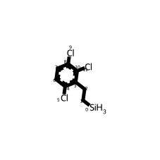 [SiH3]CCc1c(Cl)ccc(Cl)c1Cl